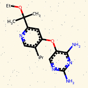 CCOC(C)(C)c1cc(Oc2cnc(N)nc2N)c(C(C)C)cn1